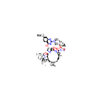 COc1ccc2c(O[C@@H]3C[C@H]4C(=O)N[C@]5(C(=O)NS(=O)(=O)C6(C)CC6)C[C@H]5C=CCC[C@H](C)C[C@@H](C)[C@H](N(C(=O)O)C(C)(C)C(F)(F)F)C(=O)N4C3)nc(N(C)C)nc2c1